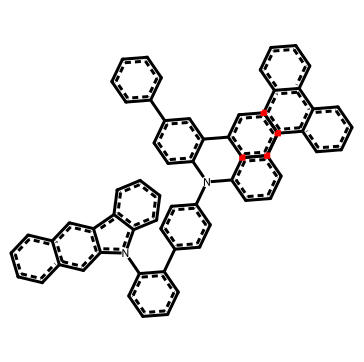 c1ccc(-c2ccc(N(c3ccc(-c4ccccc4-n4c5ccccc5c5cc6ccccc6cc54)cc3)c3cccc(-c4cc5ccccc5c5ccccc45)c3)c(-c3ccccc3)c2)cc1